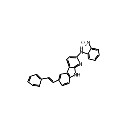 O=[N+]([O-])c1ccccc1Nc1ccc2c(n1)[nH]c1ccc(C=Cc3ccccc3)cc12